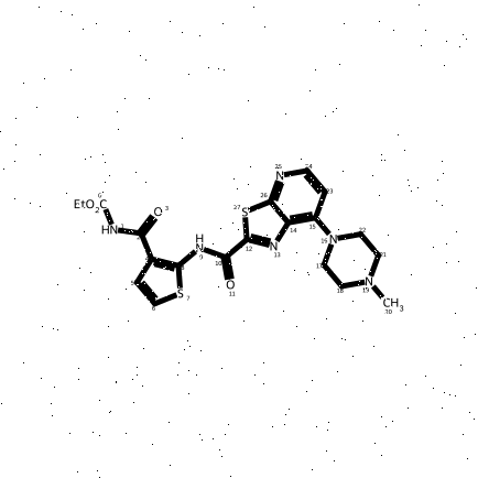 CCOC(=O)NC(=O)c1ccsc1NC(=O)c1nc2c(N3CCN(C)CC3)ccnc2s1